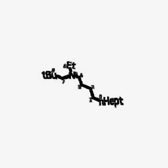 CCCCCCCCCCCN(CC)CC(C)(C)C